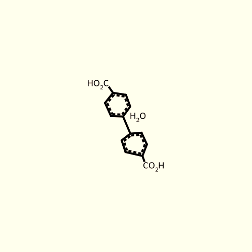 O.O=C(O)c1ccc(-c2ccc(C(=O)O)cc2)cc1